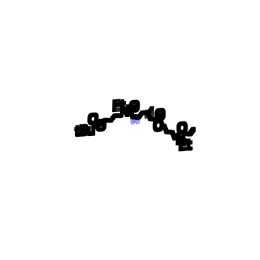 C=CC(=O)N(CC)CCCCOC(=O)C[C@H](C)C/C=C\C(=O)N(CC)CCCCOC(=O)C(C)(C)C